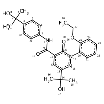 CC(C)(O)c1ccc(NC(=O)c2cc(C(C)(C)O)nn(-c3ccccc3OCC(F)(F)F)c2=O)cc1